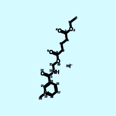 CCOC(=O)CCCC(=O)OCNC(=O)c1ccc[n+](C)c1.[I-]